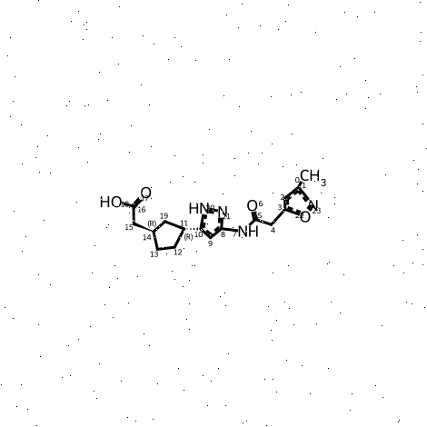 Cc1cc(CC(=O)Nc2cc([C@@H]3CC[C@@H](CC(=O)O)C3)[nH]n2)on1